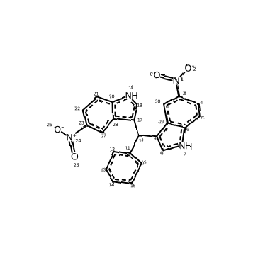 O=[N+]([O-])c1ccc2[nH]cc(C(c3ccccc3)c3c[nH]c4ccc([N+](=O)[O-])cc34)c2c1